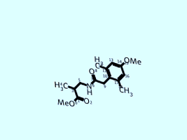 COC(=O)C(C)CNC(=O)Cc1c(C)cc(OC)cc1C